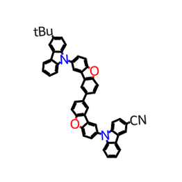 CC(C)(C)c1ccc2c(c1)c1ccccc1n2-c1ccc2oc3ccc(-c4ccc5oc6ccc(-n7c8ccccc8c8cc(C#N)ccc87)cc6c5c4)cc3c2c1